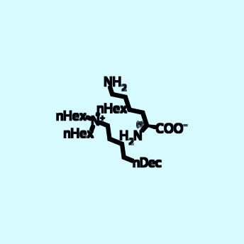 CCCCCCCCCCCCCC[N+](CCCCCC)(CCCCCC)CCCCCC.NCCCC[C@H](N)C(=O)[O-]